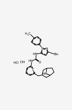 Cc1ccc(-n2nc(C(C)(C)C)cc2NC(=O)Nc2cccc(CC3CC4CCC(C3)N4)c2)cc1.Cl.Cl